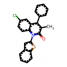 Cc1c(-c2ccccc2)c2cc(Cl)ccc2n(-c2cc3ccccc3s2)c1=O